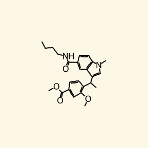 CCCCNC(=O)c1ccc2c(c1)c(C(C)c1ccc(C(=O)OC)cc1OC)cn2C